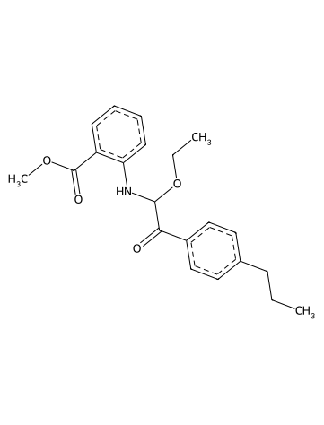 CCCc1ccc(C(=O)C(Nc2ccccc2C(=O)OC)OCC)cc1